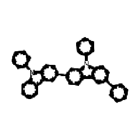 c1ccc(-c2ccc3c(c2)c2ccc(-c4ccc5c(c4)c4ccccc4n5-c4ccccc4)cc2n3-c2ccccc2)cc1